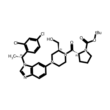 C[C@H](c1ccc(Cl)cc1Cl)n1cnc2ccc(N3CCN(C(=O)[C@H]4CCCN4C(=O)OC(C)(C)C)[C@H](CO)C3)cc21